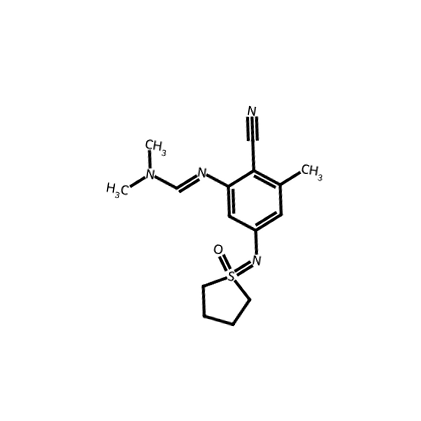 Cc1cc(N=S2(=O)CCCC2)cc(N=CN(C)C)c1C#N